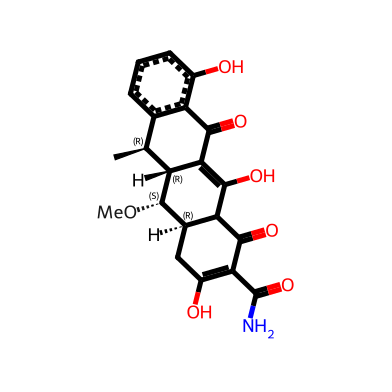 CO[C@@H]1[C@H]2C(=C(O)C3C(=O)C(C(N)=O)=C(O)C[C@H]31)C(=O)c1c(O)cccc1[C@@H]2C